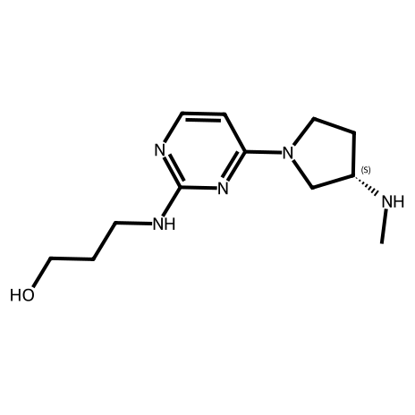 CN[C@H]1CCN(c2ccnc(NCCCO)n2)C1